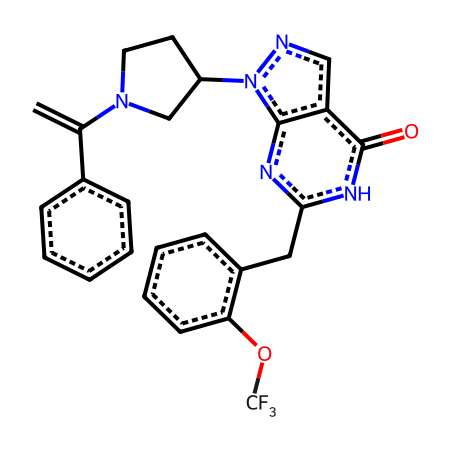 C=C(c1ccccc1)N1CCC(n2ncc3c(=O)[nH]c(Cc4ccccc4OC(F)(F)F)nc32)C1